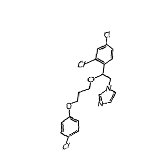 Clc1ccc(OCCCOC(Cn2ccnc2)c2ccc(Cl)cc2Cl)cc1